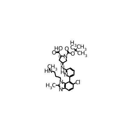 CNCCCn1c(C)nc2ccc(Cl)c(-c3cccc(N[C@H]4C[C@@H](C(=O)O)N(C(=O)OC(C)(C)C)C4)n3)c21